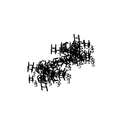 CC1(C)CC(OC(=O)OC(CCCC(=O)OCC(C)(C)C2OCC3(CO2)COC(C(C)(C)COC(=O)CCCC(OC(=O)OC2CC(C)(C)NC(C)(C)C2)(OC(=O)OC2CC(C)(C)NC(C)(C)C2)OC(=O)OC2CC(C)(C)NC(C)(C)C2)OC3)(OC(=O)OC2CC(C)(C)NC(C)(C)C2)OC(=O)OC2CC(C)(C)NC(C)(C)C2)CC(C)(C)N1